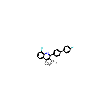 Cc1c(-c2ccc(-c3ccc(F)cc3)cc2)nc2c(F)cccc2c1C(=O)O